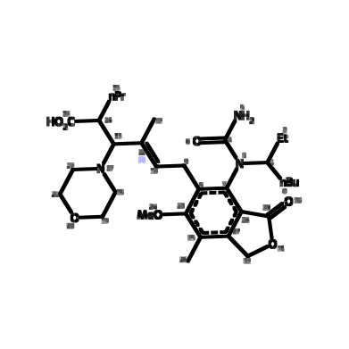 CCCCC(CC)N(C(N)=O)c1c(C/C=C(\C)C(C(CCC)C(=O)O)N2CCOCC2)c(OC)c(C)c2c1C(=O)OC2